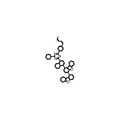 C/C=C\C=C/c1ccc(-c2nc(-c3ccccc3)nc(-c3ccc(-c4ccc(-c5cccc6oc7ccccc7c56)c5oc6ccccc6c45)c4ccccc34)n2)cc1